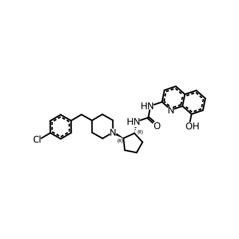 O=C(Nc1ccc2cccc(O)c2n1)N[C@@H]1CCC[C@H]1N1CCC(Cc2ccc(Cl)cc2)CC1